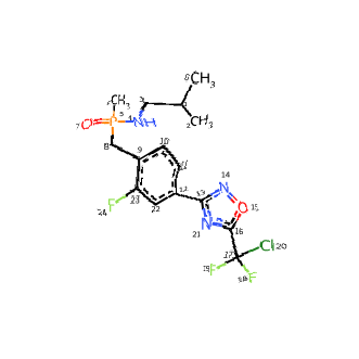 CC(C)CNP(C)(=O)Cc1ccc(-c2noc(C(F)(F)Cl)n2)cc1F